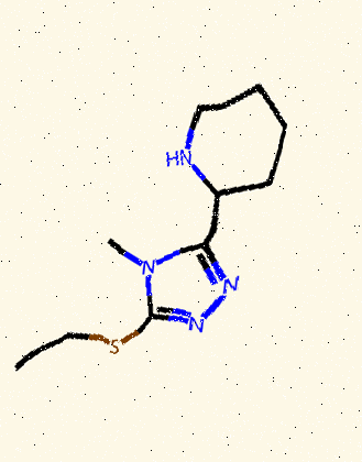 CCSc1nnc(C2CCCCN2)n1C